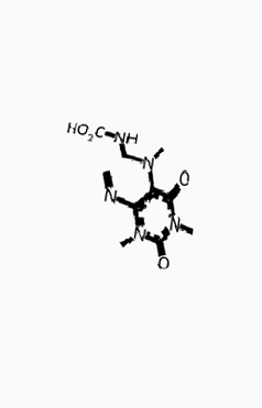 C=Nc1c(N(C)CNC(=O)O)c(=O)n(C)c(=O)n1C